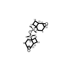 C[Si](C)(O[Si](C)(C)C12CCC3OC3C1CC2)C12CCC3OC3C1CC2